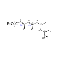 CCOC(=O)/C=C(C)/C=C(\C)CC(C)CC(C)C(C)C